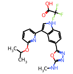 CNc1nnc(-c2ccc3[nH]cc(-c4cccc(OC(C)C)n4)c3c2)o1.O=C(O)C(F)(F)F